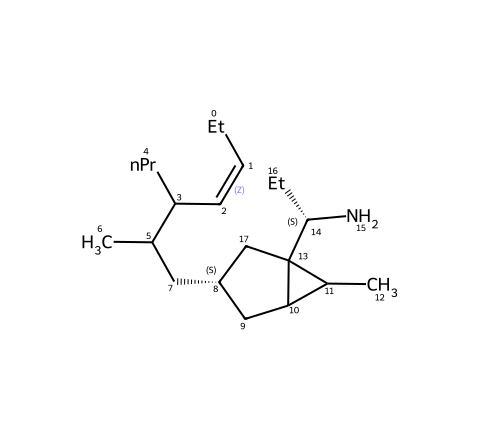 CC/C=C\C(CCC)C(C)C[C@H]1CC2C(C)C2([C@@H](N)CC)C1